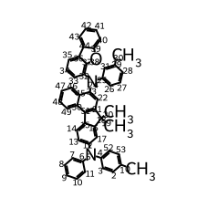 Cc1ccc(N(c2ccccc2)c2ccc3c(c2)C(C)(C)c2cc(N(c4cccc(C)c4)c4cccc5c4oc4ccccc45)c4ccccc4c2-3)cc1